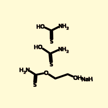 NC(=S)OCCO.NC(O)=S.NC(O)=S.[NaH]